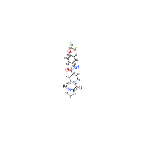 CC(=O)N1CCC[C@@H]1C(=O)N1CCC(C(=O)Nc2ccc(OC(F)F)cc2)CC1